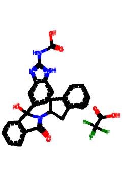 O=C(O)C(F)(F)F.O=C(O)Nc1nc2cc(C3(O)c4ccccc4C(=O)N3C3Cc4ccccc4C3)ccc2[nH]1